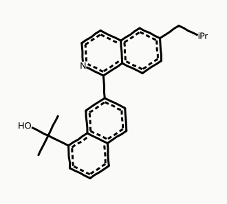 CC(C)Cc1ccc2c(-c3ccc4cccc(C(C)(C)O)c4c3)nccc2c1